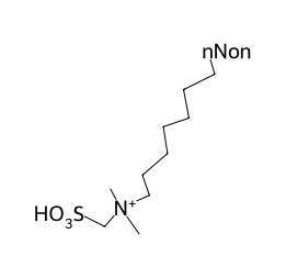 CCCCCCCCCCCCCCCC[N+](C)(C)CS(=O)(=O)O